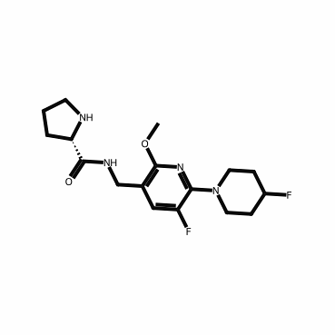 COc1nc(N2CCC(F)CC2)c(F)cc1CNC(=O)[C@@H]1CCCN1